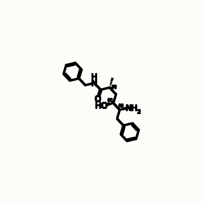 C[C@H](C[C@H](O)[C@@H](N)Cc1ccccc1)C(=O)NCc1ccccc1